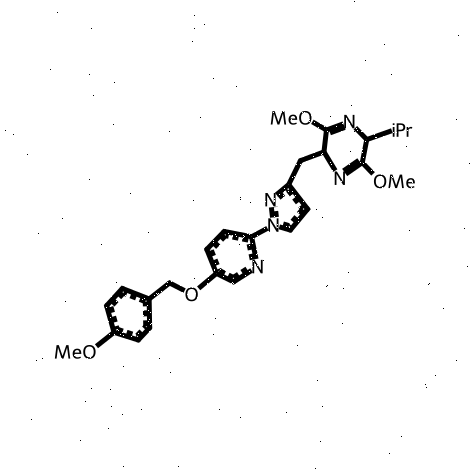 COC1=NC(C(C)C)C(OC)=NC1Cc1ccn(-c2ccc(OCc3ccc(OC)cc3)cn2)n1